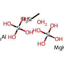 C[SiH3].O.O[Si](O)(O)O.O[Si](O)(O)O.[AlH3].[MgH2]